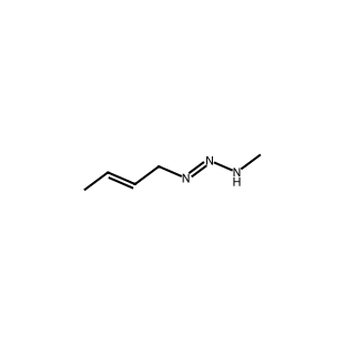 CC=CCN=NNC